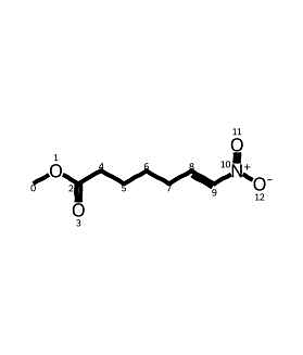 COC(=O)CCCC/C=C/[N+](=O)[O-]